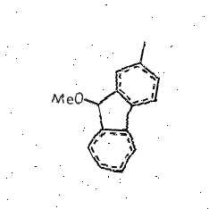 COC1c2ccccc2-c2ccc(C)cc21